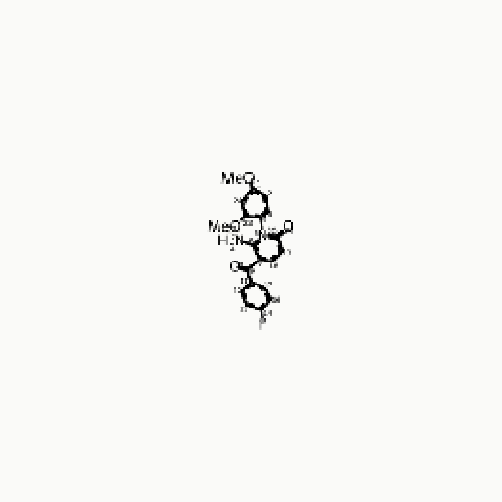 COc1ccc(-n2c(N)c(C(=O)c3ccc(F)cc3)ccc2=O)c(OC)c1